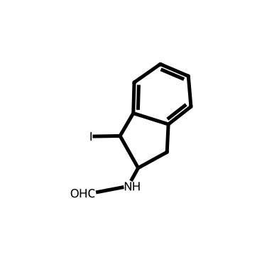 O=CNC1Cc2ccccc2C1I